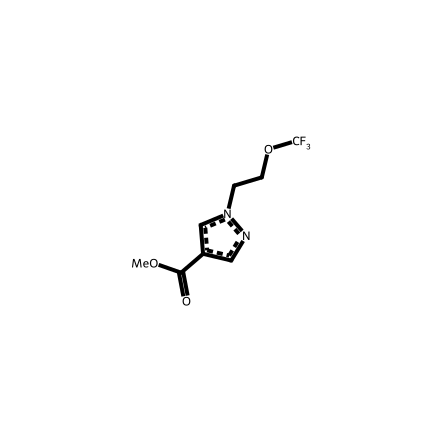 COC(=O)c1cnn(CCOC(F)(F)F)c1